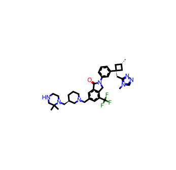 Cn1cnnc1C[C@]1(c2cccc(N3Cc4c(cc(CN5CCC[C@H](CN6CCNCC6(C)C)C5)cc4C(F)(F)F)C3=O)c2)C[C@H](C)C1